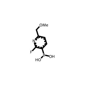 COCc1ccc(B(O)O)c(F)n1